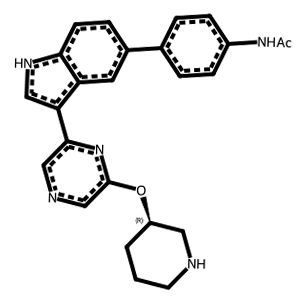 CC(=O)Nc1ccc(-c2ccc3[nH]cc(-c4cncc(O[C@@H]5CCCNC5)n4)c3c2)cc1